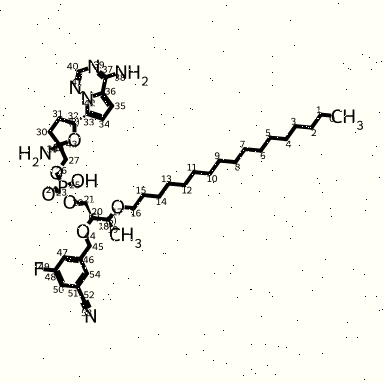 CCCCCCCCCCCCCCCCCO[C@@H](C)[C@H](COP(=O)(O)OC[C@]1(N)CC[C@H](c2ccc3c(N)ncnn23)O1)OCc1cc(F)cc(C#N)c1